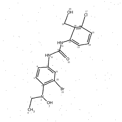 CCN(O)c1ccc(NC(=O)Nc2cccc(Cl)c2CO)cc1Br